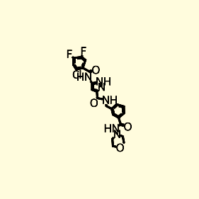 O=C(NN1CCOCC1)c1cccc(CNC(=O)c2cc(NC(=O)c3cc(F)c(F)cc3Cl)[nH]n2)c1